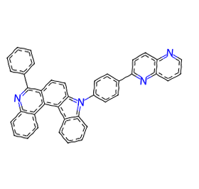 c1ccc(-c2nc3ccccc3c3c2ccc2c3c3ccccc3n2-c2ccc(-c3ccc4ncccc4n3)cc2)cc1